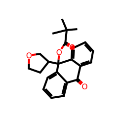 CC(C)(C)C(=O)OC1(C2CCOC2)c2ccccc2C(=O)c2ccccc21